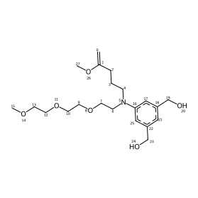 C=C(CCCN(CCOCCOCCOC)c1cc(CO)cc(CO)c1)OC